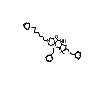 O=C(CC1NC(=O)C2(CCN(CCCCCCc3ccccc3)CC2)N(CCc2ccccc2)C1=O)OCc1ccccc1